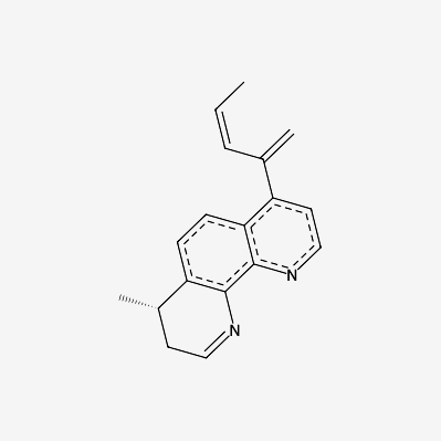 C=C(/C=C\C)c1ccnc2c3c(ccc12)[C@@H](C)CC=N3